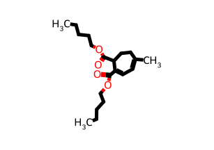 CCCCCOC(=O)C1=CC=C(C)CCC1C(=O)OCCCCC